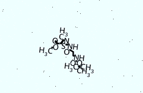 CCOC(=O)c1sc(NC(=O)CCNC(=O)OC(C)(C)C)nc1C